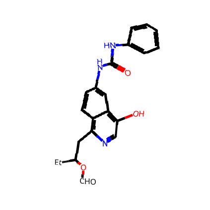 CCC(Cc1ncc(O)c2cc(NC(=O)Nc3ccccc3)ccc12)OC=O